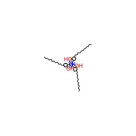 CCCCCCCCCCCCc1ccc(-c2nc(-c3ccc(CCCCCCCCCCCC)cc3O)nc(-c3ccc(CCCCCCCCCCCC)cc3O)n2)c(O)c1